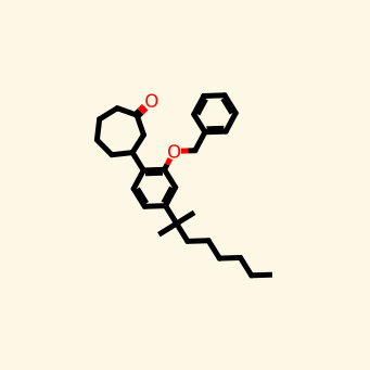 CCCCCCC(C)(C)c1ccc(C2CCCCC(=O)C2)c(OCc2ccccc2)c1